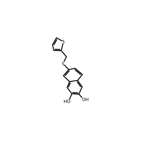 Oc1cc2ccc(SCc3cccs3)cc2cc1O